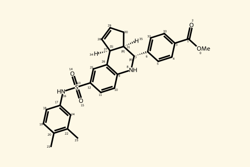 COC(=O)c1ccc([C@@H]2Nc3ccc(S(=O)(=O)Nc4ccc(C)c(C)c4)cc3[C@H]3C=CC[C@H]32)cc1